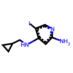 Nc1cc(NCC2CC2)c(I)cn1